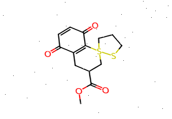 COC(=O)C1CC2=C(C(=O)C=CC2=O)S2(CCCS2)C1